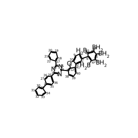 Bc1c(B)c(B)c(-c2ccc3oc4c(-c5nc(-c6ccccc6)nc(-c6ccc(-c7ccccc7)cc6)n5)cccc4c3c2)c(B)c1B